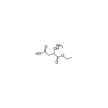 CCOC(=O)C(O)CC(=O)O.N